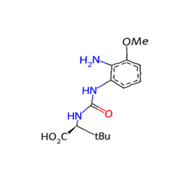 COc1cccc(NC(=O)N[C@H](C(=O)O)C(C)(C)C)c1N